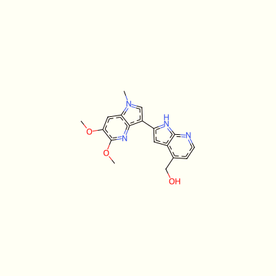 COc1cc2c(nc1OC)c(-c1cc3c(CO)ccnc3[nH]1)cn2C